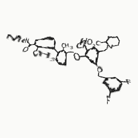 CNC(=O)c1cccc(-c2cccc(COc3cc(OCc4cc(F)cc(F)c4)c(CN4CCCCC4C(=O)O)cc3Cl)c2C)c1C